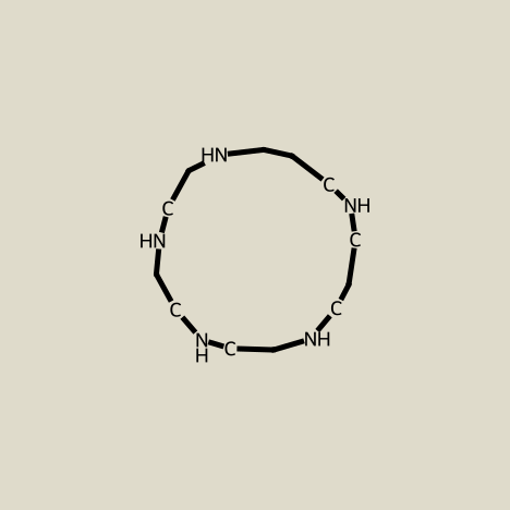 C1CNCCCNCCNCCNCCNC1